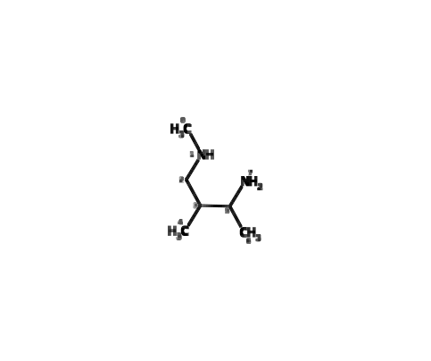 CNCC(C)C(C)N